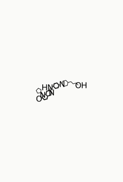 O=c1ccc2cnc(Nc3ccc(N4CCC(CCCO)CC4)cc3)cc2n1C1CCCC1